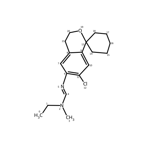 CCN(C)/C=N/c1cc2c(cc1Cl)C1(CCCCC1)OCC2